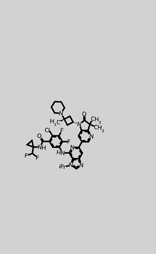 CC(C)n1cnc2cc(-c3cnc4c(c3)N([C@H]3C[C@@](C)(N5CCCCC5)C3)C(=O)C4(C)C)nc(Nc3cc(C(=O)NC4(C(F)F)CC4)c(Cl)c(F)c3F)c21